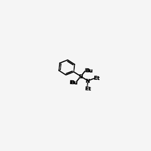 CCC(C)[Si](c1ccccc1)(C(C)CC)N(CC)CC